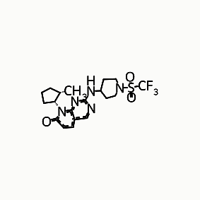 C[C@H]1CCC[C@H]1n1c(=O)ccc2cnc(NC3CCN(S(=O)(=O)C(F)(F)F)CC3)nc21